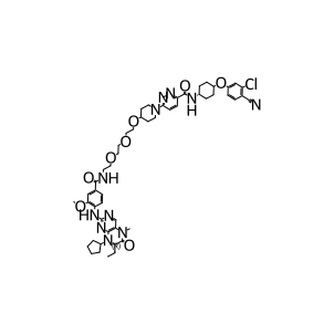 CC[C@@H]1C(=O)N(C)c2cnc(Nc3ccc(C(=O)NCCOCCOCCOC4CCN(c5ccc(C(=O)N[C@H]6CC[C@H](Oc7ccc(C#N)c(Cl)c7)CC6)nn5)CC4)cc3OC)nc2N1C1CCCC1